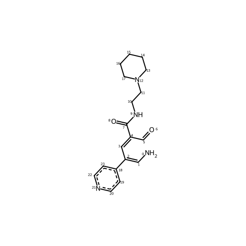 N/C=C(\C=C(/C=O)C(=O)NCCN1CCCCC1)c1ccncc1